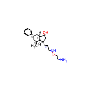 C[C@H]1C[C@H](c2ccccc2)C[C@H]2[C@H]1[C@@H](/C=C/CNOCCN)C[C@@H]2O